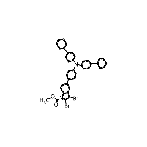 COC(=O)n1c(Br)c(Br)c2cc(-c3ccc(N(c4ccc(-c5ccccc5)cc4)c4ccc(-c5ccccc5)cc4)cc3)ccc21